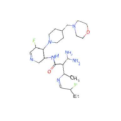 CCC(F)/C=N\C(C)C(C(=O)NC1CN=CC(F)C1N1CCC(CN2CCOCC2)CC1)C(N)N